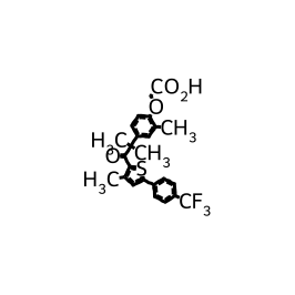 Cc1cc(C(C)(C)C(=O)c2sc(-c3ccc(C(F)(F)F)cc3)cc2C)ccc1OCC(=O)O